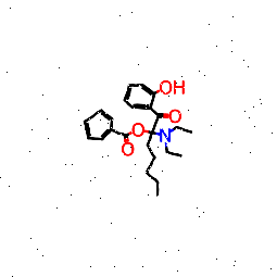 CCCCCC(OC(=O)c1ccccc1)(C(=O)c1ccccc1O)N(CC)CC